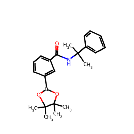 CC(C)(NC(=O)c1cccc(B2OC(C)(C)C(C)(C)O2)c1)c1ccccc1